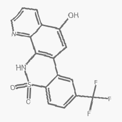 O=S1(=O)Nc2c(cc(O)c3cccnc23)-c2cc(C(F)(F)F)ccc21